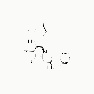 CC(NC(=O)Cn1ncc(N[C@@H]2C[C@H](C)C(C)(C)[C@H](C)[C@H]2C)c(Br)c1=O)c1ccncc1